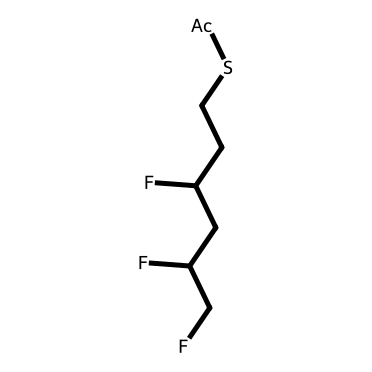 CC(=O)SCCC(F)CC(F)CF